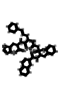 NC(=O)C(Cc1cnc[nH]1)NC(=O)C(C/C=C/c1ccccc1)NC(=O)CP(=O)(O)C(Cc1ccccc1)NC(=O)c1ccc2ccccc2c1